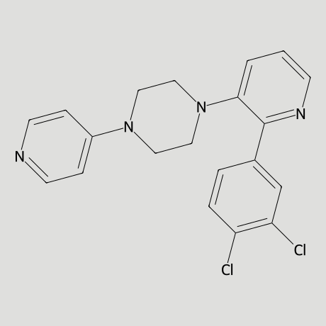 Clc1ccc(-c2ncccc2N2CCN(c3ccncc3)CC2)cc1Cl